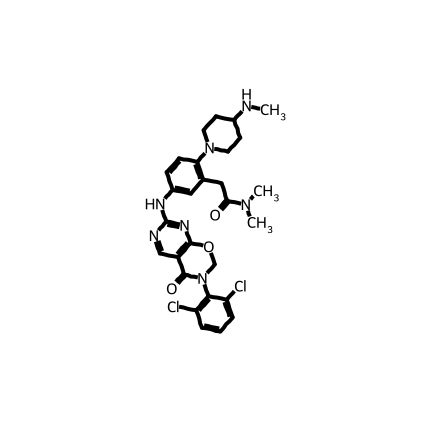 CNC1CCN(c2ccc(Nc3ncc4c(n3)OCN(c3c(Cl)cccc3Cl)C4=O)cc2CC(=O)N(C)C)CC1